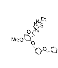 CCc1nn2cc(-c3cc4c(OCc5cccc(OCc6ccccc6)c5)cc(OC)cc4o3)nc2s1